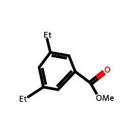 CCc1cc(CC)cc(C(=O)OC)c1